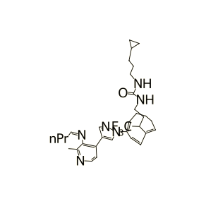 CCC/C=N\c1c(-c2cnn(C3=C/CCC/C=C(C(CCNC(=O)NCCCC4CC4)C(F)(F)F)/C=C\3)c2)ccnc1C